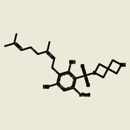 CCCCCc1cc(O)c(CC=C(C)CCC=C(C)C)c(O)c1S(=O)(=O)N1CC2(CNC2)C1